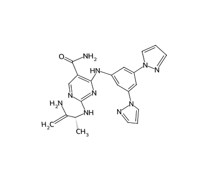 C=C(N)[C@@H](C)Nc1ncc(C(N)=O)c(Nc2cc(-n3cccn3)cc(-n3cccn3)c2)n1